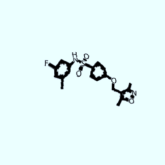 Cc1cc(F)cc(NS(=O)(=O)c2ccc(OCc3c(C)noc3C)cc2)c1